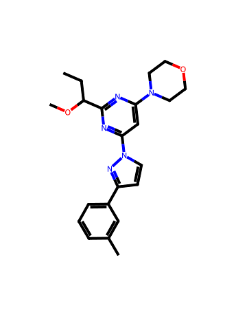 CCC(OC)c1nc(N2CCOCC2)cc(-n2ccc(-c3cccc(C)c3)n2)n1